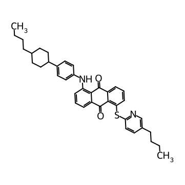 CCCCc1ccc(Sc2cccc3c2C(=O)c2cccc(Nc4ccc(C5CCC(CCCC)CC5)cc4)c2C3=O)nc1